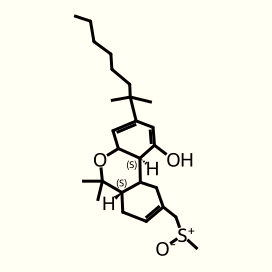 CCCCCCC(C)(C)C1=CC2OC(C)(C)[C@H]3CC=C(C[S+](C)[O-])CC3[C@@H]2C(O)=C1